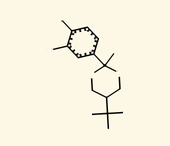 CC1(c2ccc(Cl)c(Cl)c2)SCC(C(C)(C)C)CS1